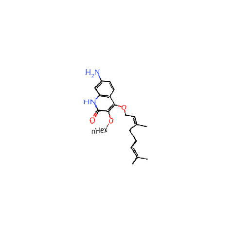 CCCCCCOc1c(OCC=C(C)CCC=C(C)C)c2ccc(N)cc2[nH]c1=O